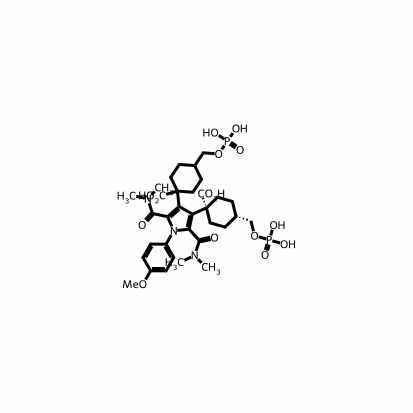 COc1ccc(-n2c(C(=O)N(C)C)c(C3(C(=O)O)CCC(COP(=O)(O)O)CC3)c([C@]3(C(=O)O)CC[C@@H](COP(=O)(O)O)CC3)c2C(=O)N(C)C)cc1